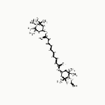 B=CON1C(C)(C)CC(OC(=O)CCCCCCCCC(=O)OC2CC(C)(C)N(O)C(C)(C)C2)CC1(C)C